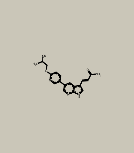 C[C@@H](C#N)COc1ccc(-c2cnc3[nH]cc(/C=C/C(N)=O)c3c2)cn1